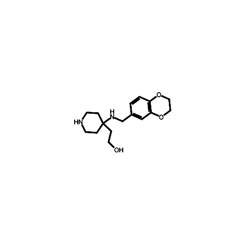 OCCC1(NCc2ccc3c(c2)OCCO3)CCNCC1